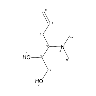 C=CCC(C(O)CO)N(C)C